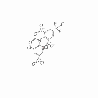 O=CN(c1c(Cl)cc([N+](=O)[O-])cc1Cl)c1c([N+](=O)[O-])cc(C(F)(F)F)cc1[N+](=O)[O-]